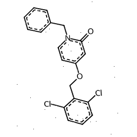 O=c1cc(OCc2c(Cl)cccc2Cl)ccn1Cc1ccccc1